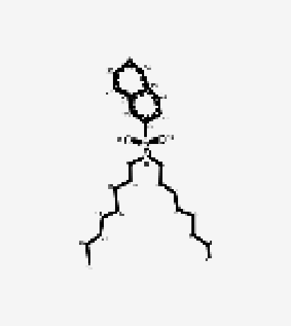 CCCCCCCCN(CCCCCCCC)S(=O)(=O)c1ccc2ccccc2c1